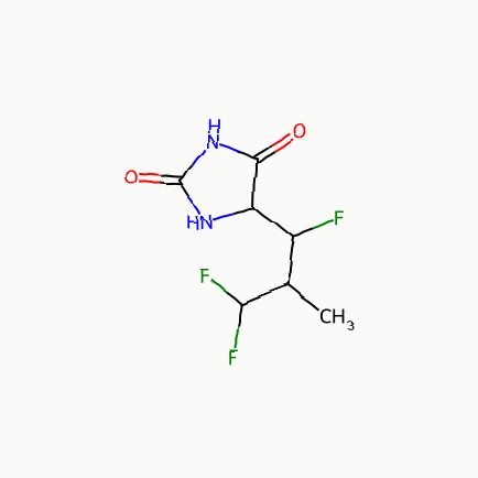 CC(C(F)F)C(F)C1NC(=O)NC1=O